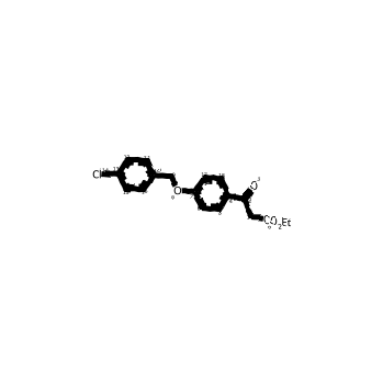 CCOC(=O)CC(=O)c1ccc(OCc2ccc(Cl)cc2)cc1